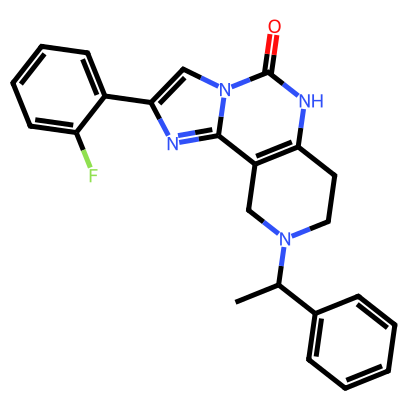 CC(c1ccccc1)N1CCc2[nH]c(=O)n3cc(-c4ccccc4F)nc3c2C1